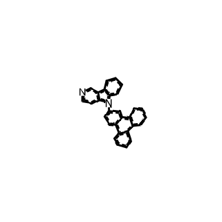 c1ccc2c(c1)c1ccccc1c1cc(-n3c4ccccc4c4cnccc43)ccc21